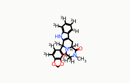 [2H]c1c([2H])c([C@]2([2H])c3[nH]c4c([2H])c([2H])c([2H])c([2H])c4c3C[C@@H]3C(=O)N(C)C([2H])([2H])C(=O)N32)c([2H])c2c1OCO2